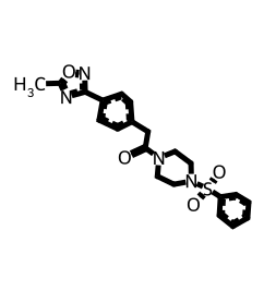 Cc1nc(-c2ccc(CC(=O)N3CCN(S(=O)(=O)c4ccccc4)CC3)cc2)no1